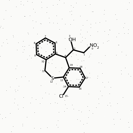 O=[N+]([O-])CC(O)C1c2ccccc2CSc2c(Cl)cccc21